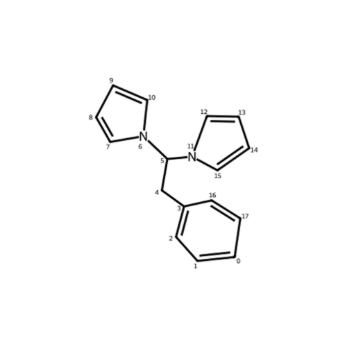 c1ccc(CC(n2cccc2)n2cccc2)cc1